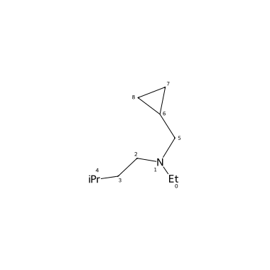 CCN(CCC(C)C)CC1CC1